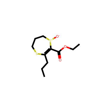 CCCC1=C(C(=O)OCC)[S+]([O-])CCCS1